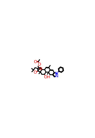 CC(=O)OCC(=O)C12OC(C)(C)CC1CC1C3C=C(C)C4=Cc5c(cnn5-c5ccccc5)CC4(C)C3C(O)CC12C